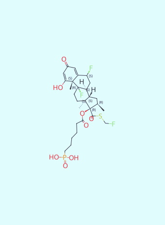 C[C@@H]1C[C@H]2[C@@H]3C[C@H](F)C4=CC(=O)C=C(O)[C@@]4(C)[C@@]3(F)CC[C@]2(C)[C@@]1(OC(=O)CCCCCP(=O)(O)O)C(=O)SCF